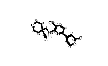 N#CC1(CNc2nc(-c3ccnc(Cl)c3)ccc2Cl)CCOCC1